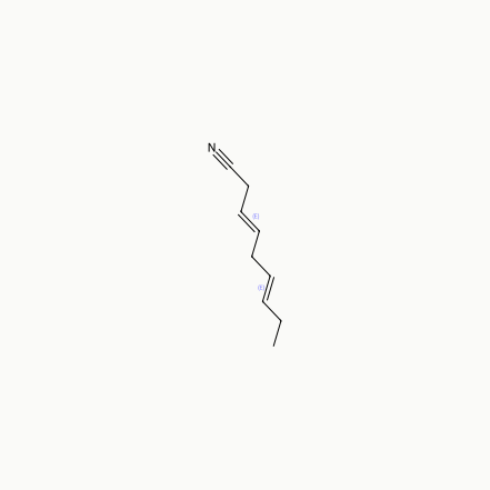 CC/C=C/C/C=C/CC#N